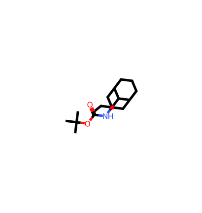 CCCC1C2CCCC1CC(NC(=O)OC(C)(C)C)C2